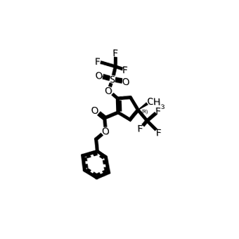 C[C@]1(C(F)(F)F)CC(OS(=O)(=O)C(F)(F)F)=C(C(=O)OCc2ccccc2)C1